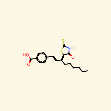 CCCCCCC(C=Cc1ccc(C(=O)O)cc1)=C1SC(=S)NC1=O